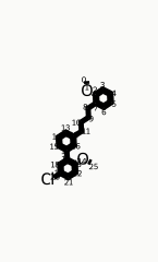 COc1ccccc1CCCCc1cccc(-c2cc(Cl)ccc2OC)c1